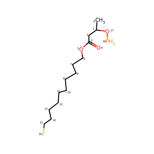 CC(CC(=O)OCCCCCCCCCCF)OP